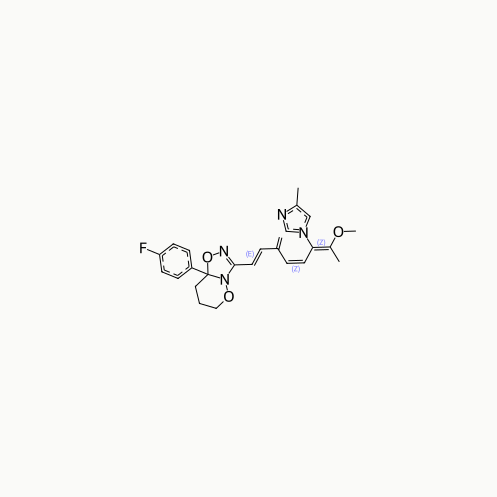 C=C(/C=C\C(=C(/C)OC)n1cnc(C)c1)/C=C/C1=NOC2(c3ccc(F)cc3)CCCON12